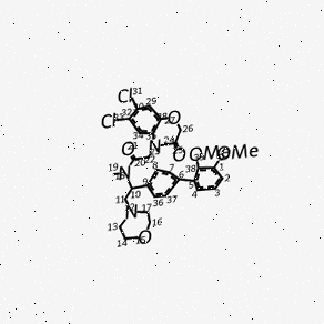 COc1cccc(-c2ccc(C(CN3CCOCC3)N(C)C(=O)CN3C(=O)COc4cc(Cl)c(Cl)cc43)cc2)c1OC